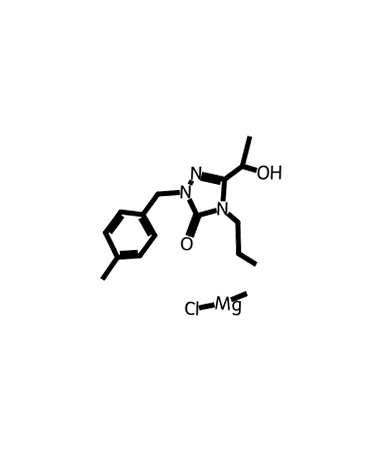 CCCn1c(C(C)O)nn(Cc2ccc(C)cc2)c1=O.[CH3][Mg][Cl]